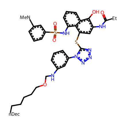 CCCCCCCCCCCCCCCOCNc1cccc(-n2nnnc2Sc2cc(NC(=O)CC)c(O)c3cccc(NS(=O)(=O)c4cccc(NC)c4)c23)c1